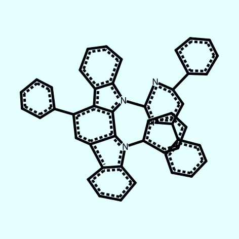 c1ccc(-c2cc(-c3ccccc3)nc(-n3c4ccccc4c4c(-c5ccccc5)cc5c6ccccc6n(-c6ccccc6)c5c43)n2)cc1